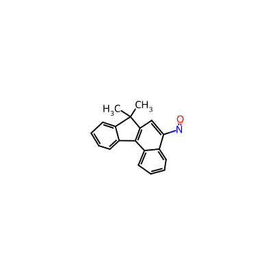 CC1(C)c2ccccc2-c2c1cc(N=O)c1ccccc21